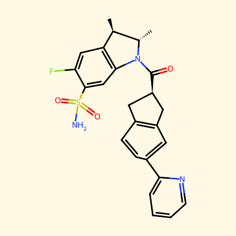 C[C@@H]1c2cc(F)c(S(N)(=O)=O)cc2N(C(=O)[C@@H]2Cc3ccc(-c4ccccn4)cc3C2)[C@H]1C